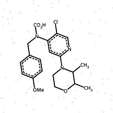 COc1ccc(CN(C(=O)O)c2cc(N3CCOC(C)C3C)ncc2Cl)cc1